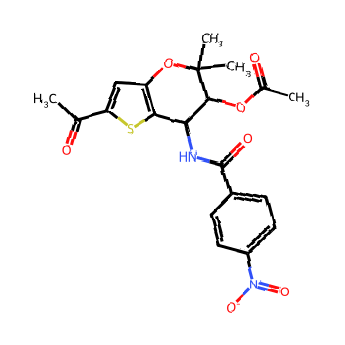 CC(=O)OC1C(NC(=O)c2ccc([N+](=O)[O-])cc2)c2sc(C(C)=O)cc2OC1(C)C